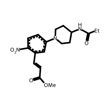 CCC(=O)NC1CCN(c2ccc([N+](=O)[O-])c(C=CC(=O)OC)c2)CC1